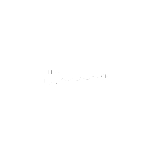 CCCCCC[CH]CC(CC)CC